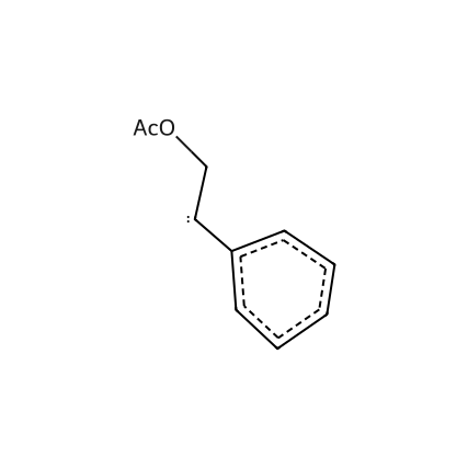 CC(=O)OC[C]c1ccccc1